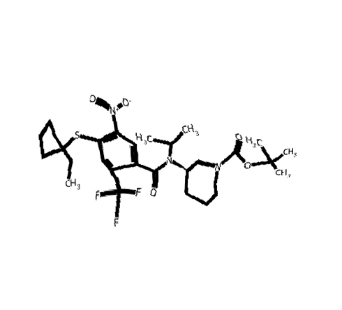 CCC1(Sc2cc(C(F)(F)F)c(C(=O)N(C(C)C)[C@@H]3CCCN(C(=O)OC(C)(C)C)C3)cc2[N+](=O)[O-])CCC1